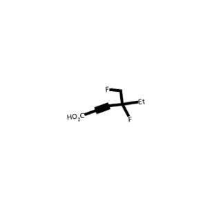 CCC(F)(C#CC(=O)O)CF